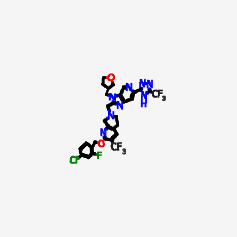 Fc1cc(Cl)ccc1COc1nc2c(cc1C(F)(F)F)CCN(Cc1nc3cc(-c4nnc(C(F)(F)F)[nH]4)ncc3n1C[C@H]1CCOC1)C2